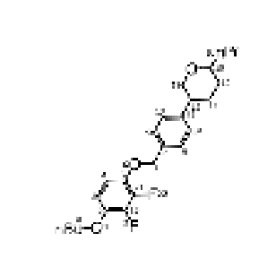 CCCCOc1ccc(OCc2ccc(C3CCC(CCC)OC3)cc2)c(F)c1F